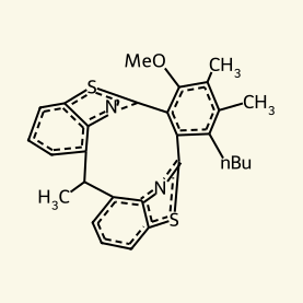 CCCCc1c(C)c(C)c(OC)c2c1-c1nc3c(cccc3s1)C(C)c1cccc3sc-2nc13